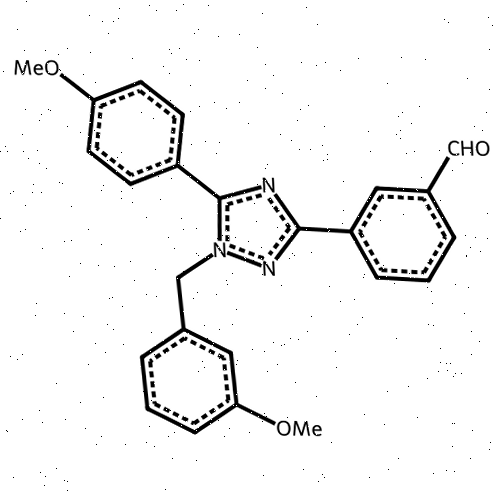 COc1ccc(-c2nc(-c3cccc(C=O)c3)nn2Cc2cccc(OC)c2)cc1